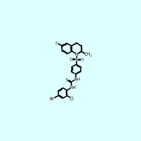 CC1CCc2cc(F)ccc2N1S(=O)(=O)c1ccc(NC(=S)Nc2ccc(Br)cc2Cl)cc1